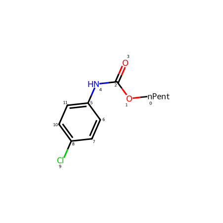 CCCCCOC(=O)Nc1ccc(Cl)cc1